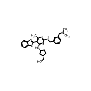 Cc1nc(NCc2cccc(CN(C)C)c2)nc(N[C@H]2CC[C@@H](CO)C2)c1-c1nc2ccccc2s1